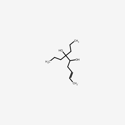 [CH2]C=CCC(O)C(O)(CCC)CCC